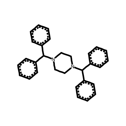 c1ccc(C(c2ccccc2)N2CCN(C(c3ccccc3)c3ccccc3)CC2)cc1